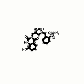 NS(=O)(=O)c1ccccc1CN1CC(Cn2c(=O)[nH]c3c(O)cccc3c2=O)NN1